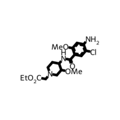 CCOC(=O)CN1CCC(NC(=O)c2cc(Cl)c(N)cc2OC)C(OC)C1